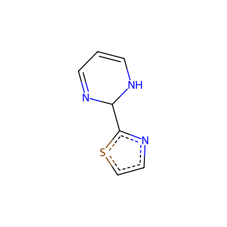 C1=CNC(c2nccs2)N=C1